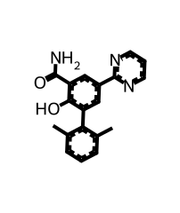 Cc1cccc(C)c1-c1cc(-c2ncccn2)cc(C(N)=O)c1O